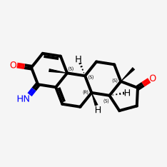 C[C@]12C=CC(=O)C(=N)C1=CC[C@@H]1[C@@H]2CC[C@]2(C)C(=O)CC[C@@H]12